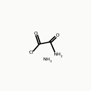 N.NC(=O)C(=O)Cl